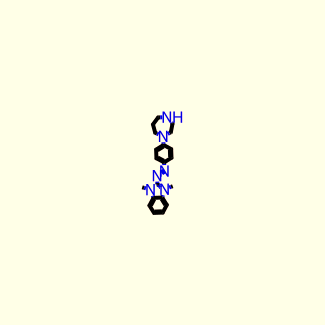 Cn1c(/N=N/c2ccc(N3CCCNCC3)cc2)[n+](C)c2ccccc21